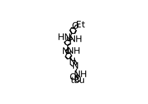 CCOc1ccc(C2Nc3ccc(-c4nc5ccc(N6CCN(CCNC(=O)OC(C)(C)C)CC6)cc5[nH]4)cc3N2)cc1